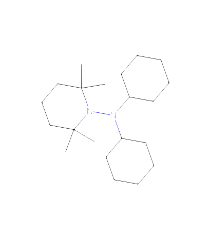 CC1(C)CCCC(C)(C)N1N(C1CCCCC1)C1CCCCC1